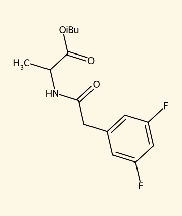 CC(C)COC(=O)C(C)NC(=O)Cc1cc(F)cc(F)c1